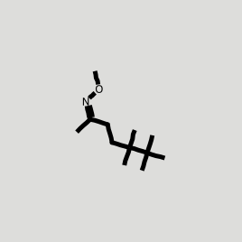 CON=C(C)CCC(C)(C)C(C)(C)C